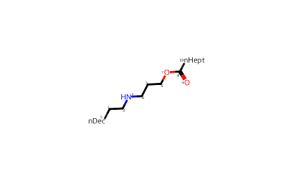 CCCCCCCCCCCCNCCCOC(=O)CCCCCCC